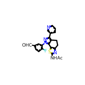 CC(=O)Nc1nc2c(s1)-c1c(c(-c3cccnc3)nn1-c1cc(C=O)ccc1F)CC2